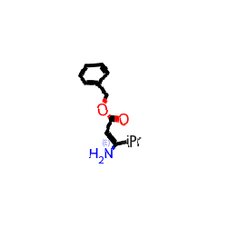 CC(C)/C(N)=C\C(=O)OCc1ccccc1